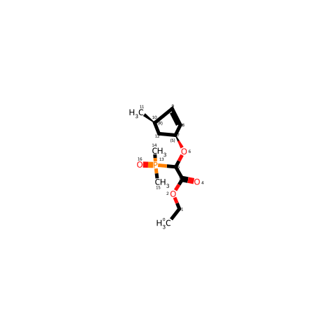 CCOC(=O)C(O[C@@H]1C=C[C@H](C)C1)P(C)(C)=O